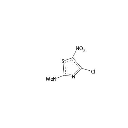 CNc1nc(Cl)c([N+](=O)[O-])s1